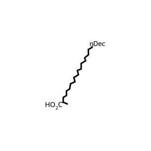 CCCCCCCCCCCCCCCCCCCCCCCCCCC(C)C(=O)O